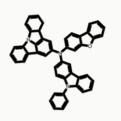 C1=CCC2C(=C1)n1c3ccccc3c3cc(N(c4ccc5c(c4)oc4ccccc45)c4ccc5c(c4)c4ccccc4n5-c4ccccc4)cc2c31